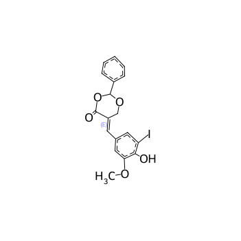 COc1cc(/C=C2\COC(c3ccccc3)OC2=O)cc(I)c1O